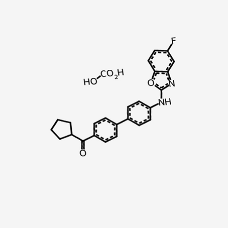 O=C(O)O.O=C(c1ccc(-c2ccc(Nc3nc4cc(F)ccc4o3)cc2)cc1)C1CCCC1